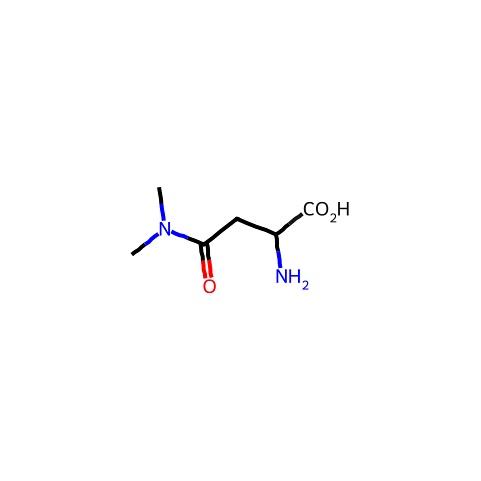 CN(C)C(=O)CC(N)C(=O)O